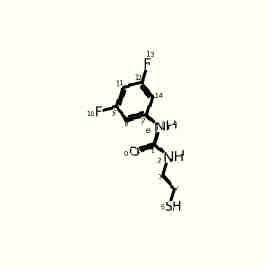 O=C(NCCS)Nc1cc(F)cc(F)c1